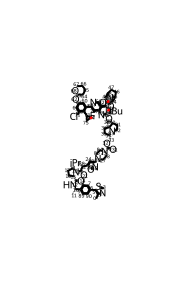 Cc1ncsc1-c1ccc([C@H](C)NC(=O)[C@@H]2CCCN2C(=O)[C@@H](c2cc(N3CCN(C(=O)OC[C@@H]4CC[C@@]5(COc6nc(N7CC8CCC(C7)N8C(=O)OC(C)(C)C)c7cnc(-c8cc(OC9CCCCO9)cc(Cl)c8C8CC8)c(F)c7n6)CCCN45)CC3)no2)C(C)C)cc1